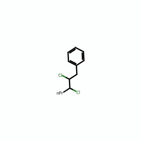 CCCC(Cl)C(Cl)Cc1cc[c]cc1